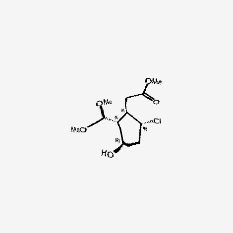 COC(=O)C[C@@H]1[C@@H](C(OC)OC)[C@H](O)C[C@H]1Cl